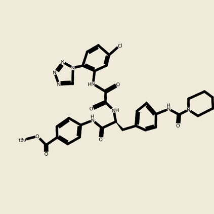 CC(C)(C)OC(=O)c1ccc(NC(=O)[C@H](Cc2ccc(NC(=O)N3CCCCC3)cc2)NC(=O)C(=O)Nc2cc(Cl)ccc2-n2cnnn2)cc1